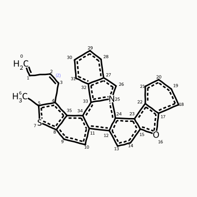 C=C/C=C\c1c(C)sc2ccc3c4ccc5oc6ccccc6c5c4n4cc5ccccc5c4c3c12